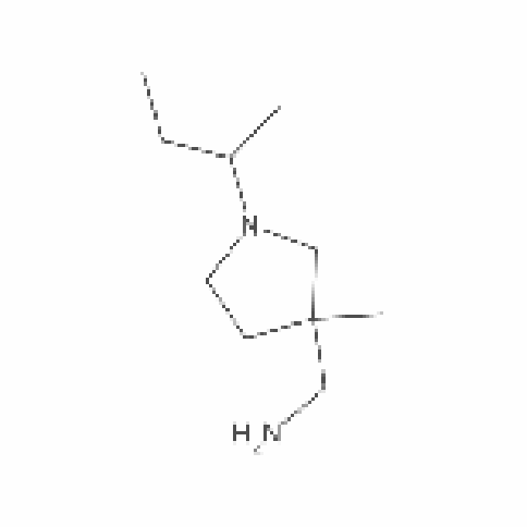 CCC(C)N1CCC(C)(CN)C1